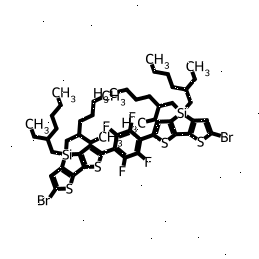 CCCCC(CC)C[Si]1(CC(CC)CCCC)c2cc(Br)sc2-c2sc(-c3c(F)c(F)c(-c4cc5c(s4)-c4sc(Br)cc4[Si]5(CC(CC)CCCC)CC(CC)CCCC)c(F)c3F)cc21